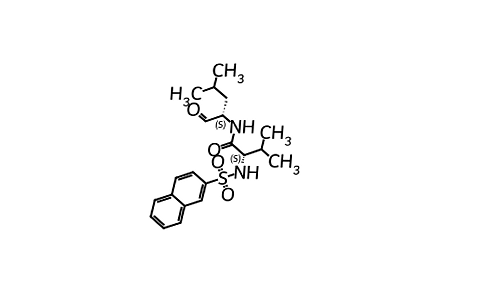 CC(C)C[C@@H](C=O)NC(=O)[C@@H](NS(=O)(=O)c1ccc2ccccc2c1)C(C)C